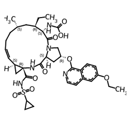 CCOc1ccc2c(O[C@@H]3C[C@H]4C(=O)N[C@]5(C(=O)NS(=O)(=O)C6CC6)C[C@H]5C=CCC[C@H](C)C[C@@H](CC)[C@H](NC(=O)O)C(=O)N4C3)nccc2c1